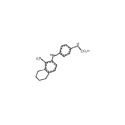 O=C(O)Nc1ccc(Nc2ccc3c(c2[N+](=O)[O-])CCCC3)cc1